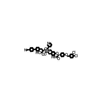 N#Cc1ccc(-c2ccc(CC(NC(=O)[C@@H]3Cc4cc5c(cc4CN3C(=O)c3cccnc3)O[C@@H](c3ccc(OCc4ccc(Cl)c(Cl)c4)cc3)C(=O)N5)C(=O)O)cc2)cc1